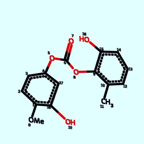 COc1ccc(OC(=O)Oc2c(C)cccc2O)cc1O